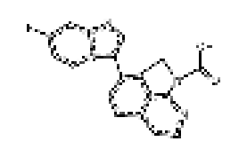 O=C(O)N1Cc2c(-c3cnc4cc(F)ccn34)ccc3ccnc1c23